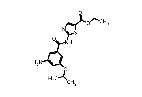 CCOC(=O)c1cnc(NC(=O)c2cc(N)cc(OC(C)C)c2)s1